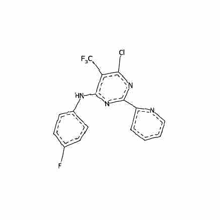 Fc1ccc(Nc2nc(-c3ccccn3)nc(Cl)c2C(F)(F)F)cc1